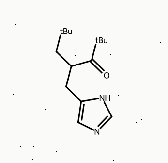 CC(C)(C)CC(Cc1cnc[nH]1)C(=O)C(C)(C)C